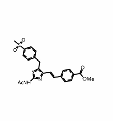 COC(=O)c1ccc(C=Cc2nc(NC(C)=O)sc2Cc2ccc(S(C)(=O)=O)cc2)cc1